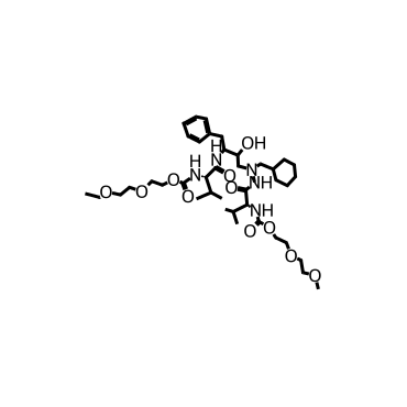 CCOCCOCCOC(=O)N[C@H](C(=O)NC(Cc1ccccc1)C(O)CN(CC1CCCCC1)NC(=O)[C@@H](NC(=O)OCCOCCOC)C(C)C)C(C)C